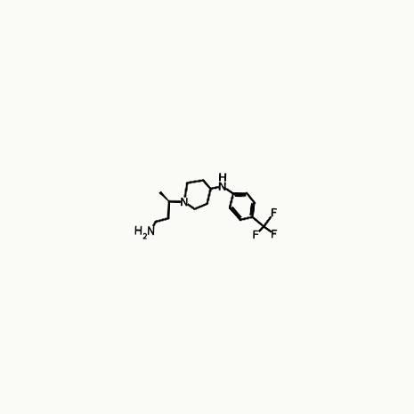 C[C@H](CCN)N1CCC(Nc2ccc(C(F)(F)F)cc2)CC1